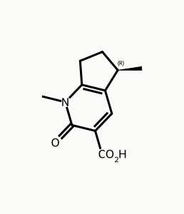 C[C@@H]1CCc2c1cc(C(=O)O)c(=O)n2C